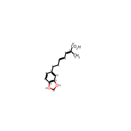 CC(=CC=CCCc1ccc2c(c1)OCO2)C(=O)O